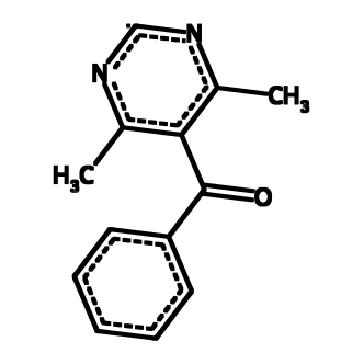 Cc1n[c]nc(C)c1C(=O)c1ccccc1